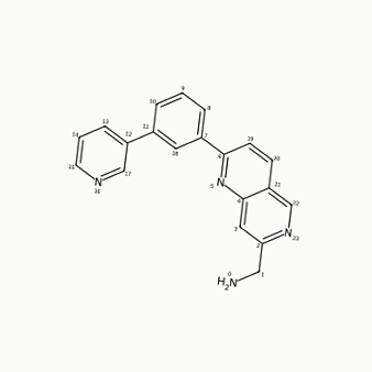 NCc1cc2nc(-c3cccc(-c4cccnc4)c3)ccc2cn1